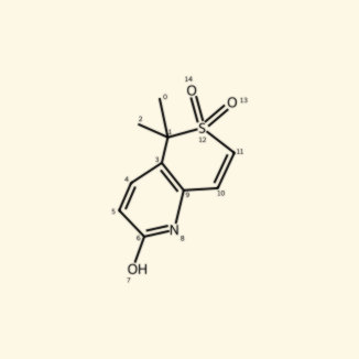 CC1(C)c2ccc(O)nc2C=CS1(=O)=O